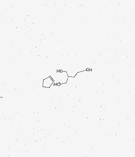 C1=CCCC1.OCCC(CO)CO